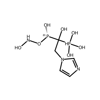 ONO[P@](O)C(O)(Cn1ccnc1)[PH](O)(O)O